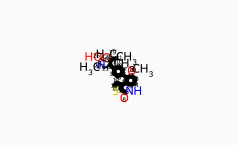 COc1ccc2[nH]c(=O)c3sccc3c2c1-c1ccc([C@@H](CN(C)C(=O)O)CC(C)(C)C)cc1